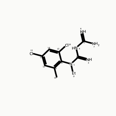 CCN(C(=N)NC(=N)N)c1c(C)cc(Cl)cc1Cl